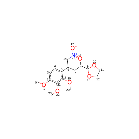 COc1ccc(C(CCC2OCCO2)C[N+](=O)[O-])c(OC)c1OC